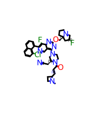 CN1CCC1/C=C/C(=O)N1CCN(c2nc(OC[C@@]34CCCN3C[C@H](F)C4)nc3c(F)c(-c4cccc5cccc(Cl)c45)ncc23)C[C@@H]1CC#N